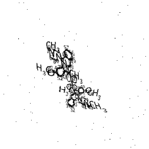 CCN1CCN(c2nc(C(C)(OC(=O)C(=O)OC(C)(c3ccc(OC)cc3)c3cc4ccccc4c(N4CCN(CC)CC4)n3)c3ccc(OC)cc3)cc3ccccc23)CC1